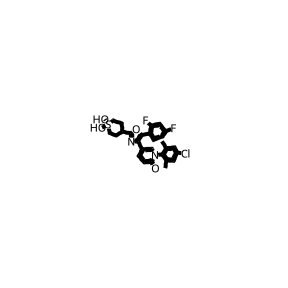 Cc1cc(Cl)cc(C)c1-n1cc(-c2nc(C3CCS(O)(O)CC3)oc2-c2ccc(F)cc2F)ccc1=O